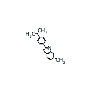 [CH2]c1ccc2sc(-c3ccc(C(C)C)cc3)nc2c1